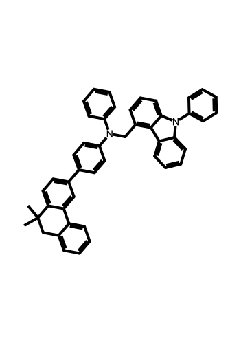 CC1(C)Cc2ccccc2-c2cc(-c3ccc(N(Cc4cccc5c4c4ccccc4n5-c4ccccc4)c4ccccc4)cc3)ccc21